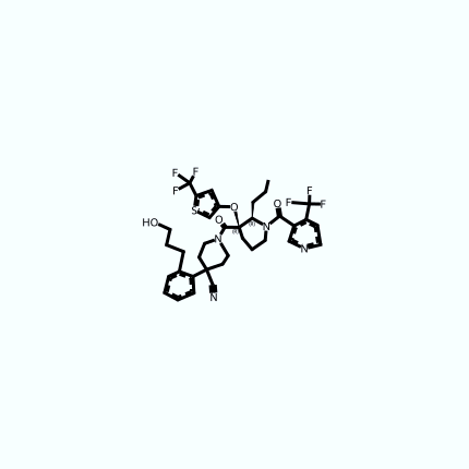 CCC[C@H]1N(C(=O)c2cnccc2C(F)(F)F)CCC[C@]1(Oc1csc(C(F)(F)F)c1)C(=O)N1CCC(C#N)(c2ccccc2CCCO)CC1